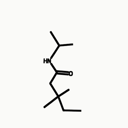 CCC(C)(C)CC(=O)NC(C)C